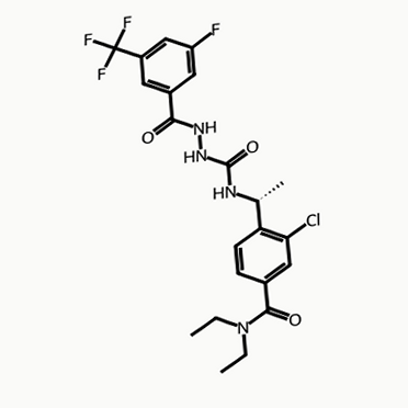 CCN(CC)C(=O)c1ccc([C@@H](C)NC(=O)NNC(=O)c2cc(F)cc(C(F)(F)F)c2)c(Cl)c1